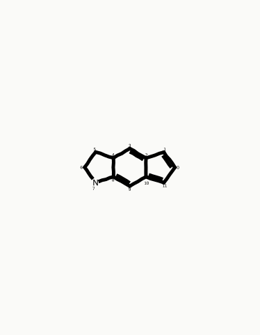 C1=CC2=CC3CC[N]C3=CC2=C1